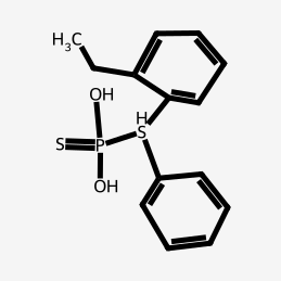 CCc1ccccc1[SH](c1ccccc1)P(O)(O)=S